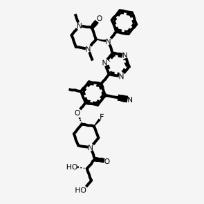 Cc1cc(-c2ncnc(N(c3ccccc3)[C@@H]3C(=O)N(C)CCN3C)n2)c(C#N)cc1O[C@H]1CCN(C(=O)[C@@H](O)CO)C[C@@H]1F